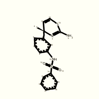 NC1=N[C@](I)(c2cccc(NS(=O)(=O)c3ccccc3)c2)C=CS1